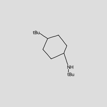 CC(C)(C)NC1CCC(C(C)(C)C)CC1